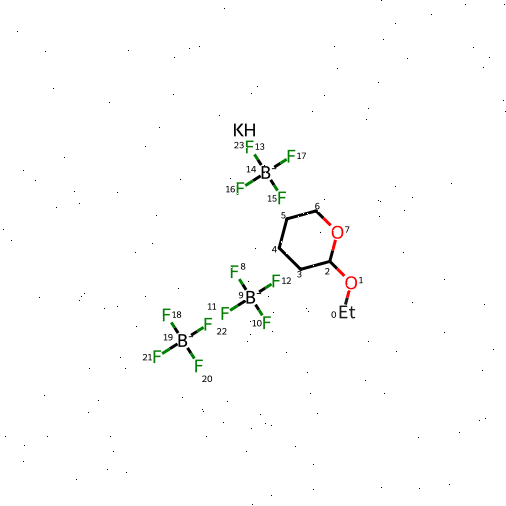 CCOC1CCCCO1.F[B-](F)(F)F.F[B-](F)(F)F.F[B-](F)(F)F.[KH]